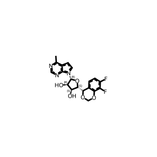 Cc1ncnc2c1ccn2[C@@H]1O[C@H](C2OCOc3c2ccc(F)c3F)[C@@H](O)[C@H]1O